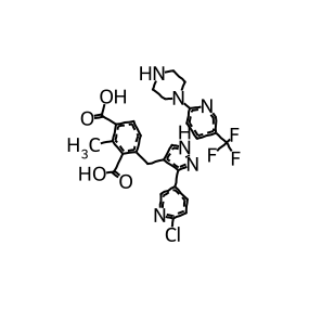 Cc1c(C(=O)O)ccc(Cc2c[nH]nc2-c2ccc(Cl)nc2)c1C(=O)O.FC(F)(F)c1ccc(N2CCNCC2)nc1